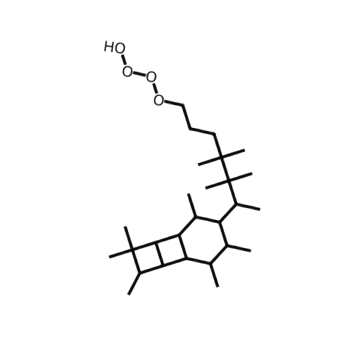 CC1C(C)C(C(C)C(C)(C)C(C)(C)CCCOOOO)C(C)C2C1C1C(C)C(C)(C)C21